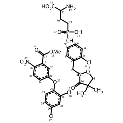 CC1(C)CON(Cc2ccccc2Cl)C1=O.COC(=O)c1cc(Oc2ccc(Cl)cc2Cl)ccc1[N+](=O)[O-].CP(=O)(O)CCC(N)C(=O)O